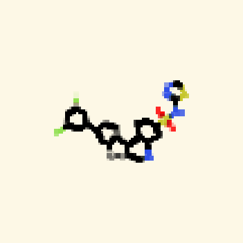 COc1cc(-c2cc(F)cc(F)c2)ccc1-c1ccnc2cc(S(=O)(=O)Nc3nncs3)ccc12